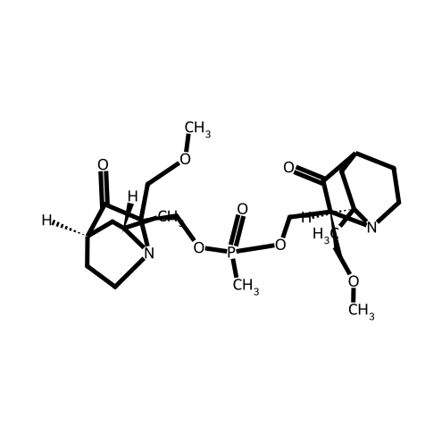 COC[C@@]1(COP(C)(=O)OC[C@]2(COC)C(=O)[C@@H]3CCN2[C@@H](C)C3)C(=O)C2CCN1[C@@H](C)C2